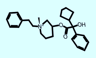 C[N@+]1(CCc2ccccc2)CCCC(OC(=O)C(O)(c2ccccc2)C2CCCC2)C1